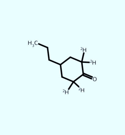 [2H]C1([2H])CC(CCC)CC([2H])([2H])C1=O